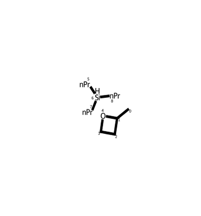 CC1CCO1.CCC[SiH](CCC)CCC